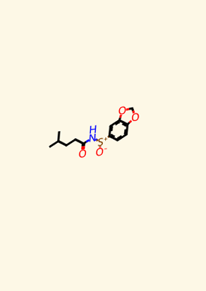 CC(C)CCC(=O)N[S+]([O-])c1ccc2c(c1)OCO2